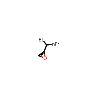 CCC[C](CC)C1=CO1